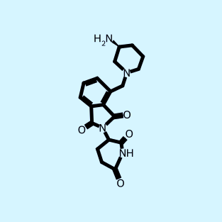 N[C@H]1CCCN(Cc2cccc3c2C(=O)N(C2CCC(=O)NC2=O)C3=O)C1